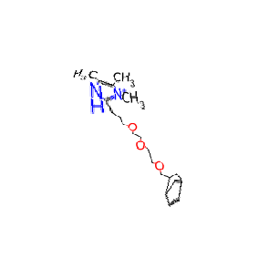 Cc1[nH]c(CCCOCCOCCOCC2CC3C=CC2C3)[n+](C)c1C